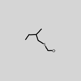 CCC(C)CSC[O]